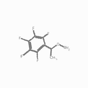 BOC(C)c1c(F)c(F)c(F)c(F)c1F